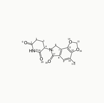 O=C1CCC(N2Cc3c(cc(I)c4c3OCO4)C2=O)C(=O)N1